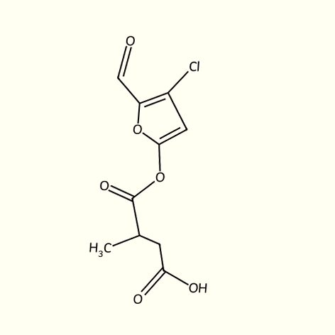 CC(CC(=O)O)C(=O)Oc1cc(Cl)c(C=O)o1